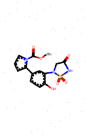 CC(C)(C)OC(=O)n1cccc1-c1ccc(O)c(N2CC(=O)NS2(=O)=O)c1